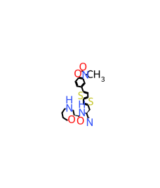 Cn1c(=O)oc2ccc(-c3cc4sc(C[C@@H](C#N)NC(=O)[C@@H]5CNCCCCO5)cc4s3)cc21